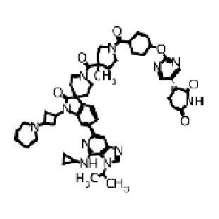 CC(C)n1cnc2cc(-c3ccc4c(c3)N(C3CC(N5CCCCC5)C3)C(=O)C43CCN(C(=O)C4(C)CCN(C(=O)C5CCC(Oc6ncc([C@H]7CCC(=O)NC7=O)cn6)CC5)CC4)CC3)nc(NC3CC3)c21